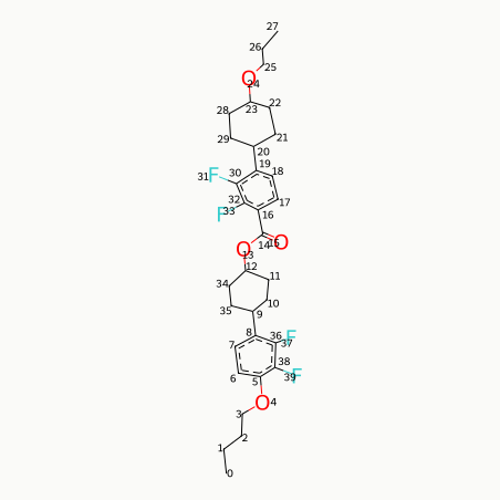 CCCCOc1ccc(C2CCC(OC(=O)c3ccc(C4CCC(OCCC)CC4)c(F)c3F)CC2)c(F)c1F